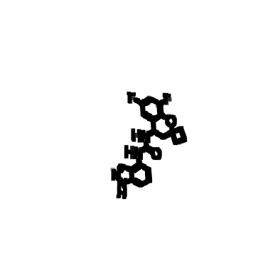 O=C(Nc1cccc2[nH]ncc12)NC1CC2(CCC2)Oc2c(F)cc(F)cc21